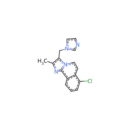 Cc1nc2c3cccc(Cl)c3ccn2c1Cn1ccnc1